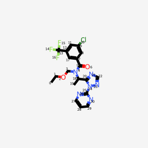 CCOCN(C(=O)c1cc(Cl)cc(C(F)(F)F)c1)C(C)c1ncnn1-c1ncccn1